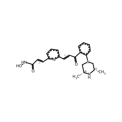 C[C@@H]1CN(c2ccccc2C(=O)/C=C/c2cccc(/C=C/C(=O)NO)n2)C[C@H](C)N1